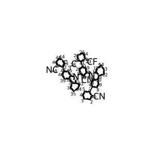 N#Cc1ccccc1-c1ccc2c3ccccc3n(-c3cc(-c4c(C(F)(F)F)cccc4C(F)(F)F)cc(-n4c5ccccc5c5ccc(-c6ccccc6C#N)cc54)c3C#N)c2c1